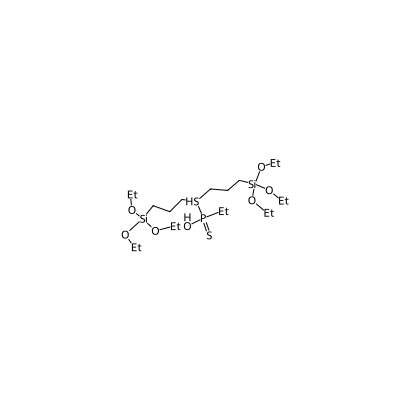 CCO[Si](CCC[SH](CCC[Si](OCC)(OCC)OCC)P(O)(=S)CC)(OCC)OCC